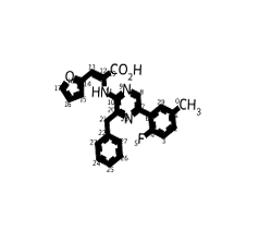 Cc1ccc(F)c(-c2cnc(N/C(=C\c3ccco3)C(=O)O)c(Cc3ccccc3)n2)c1